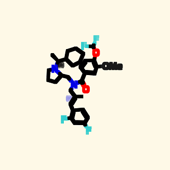 COc1cc(C(=O)N(C/C(C)=C/c2ccc(F)cc2F)CC2CCCN2[C@@H](C)C2CCCCC2)ccc1OC(F)F